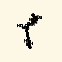 CC(C)(C)[C@@H](C[Si](C)(C)CCOC(=O)NCCCNC(=O)CSC[C@H](NC(=O)CCOCCOCCOCCOCCNC(=O)CNC(=O)OCc1ccccc1)C(=O)O)c1cc(-c2cc(F)ccc2F)cn1Cc1ccccc1